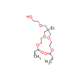 C=CC(=O)OCCOCC(CC)(COCCO)COCCOC(=O)C=C